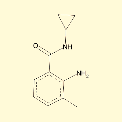 Cc1cccc(C(=O)NC2CC2)c1N